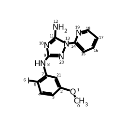 COc1ccc(I)c(Nc2nc(N)n(-c3ccccn3)n2)c1